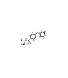 C[C@@H](OC(=O)c1ccc(C[n+]2ccccc2)cc1)C(C)(C)C